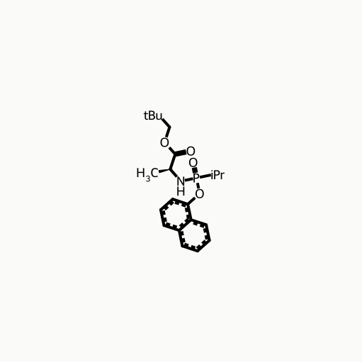 CC(C)P(=O)(N[C@@H](C)C(=O)OCC(C)(C)C)Oc1cccc2ccccc12